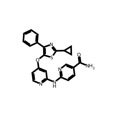 NC(=O)c1ccc(Nc2cc(Oc3sc(C4CC4)nc3-c3ccccc3)ccn2)nc1